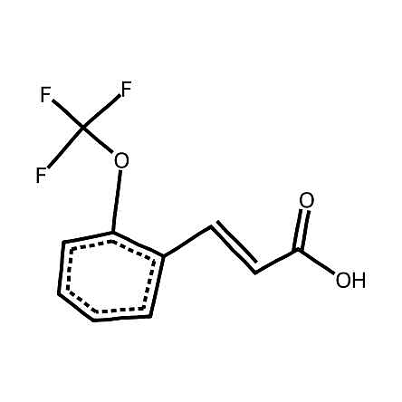 O=C(O)/C=C/c1ccccc1OC(F)(F)F